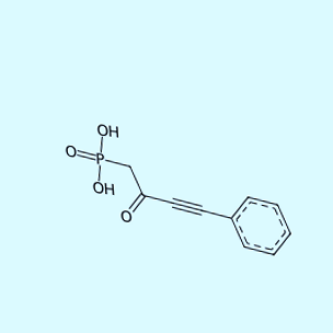 O=C(C#Cc1ccccc1)CP(=O)(O)O